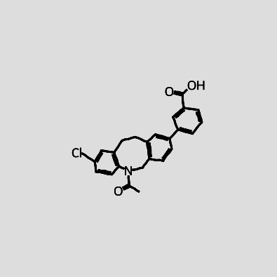 CC(=O)N1Cc2ccc(-c3cccc(C(=O)O)c3)cc2CCc2cc(Cl)ccc21